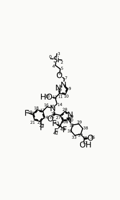 C[Si](C)(C)CCOCn1ccc(C(O)CN(Cc2cc(F)cc(F)c2)C(=O)c2cnn([C@H]3CC[C@H](C(=O)O)CC3)c2C(F)(F)F)n1